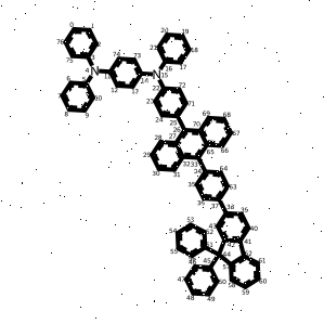 c1ccc(N(c2ccccc2)c2ccc(N(c3ccccc3)c3ccc(-c4c5ccccc5c(-c5ccc(-c6ccc7c(c6)C(c6ccccc6)(c6ccccc6)c6ccccc6-7)cc5)c5ccccc45)cc3)cc2)cc1